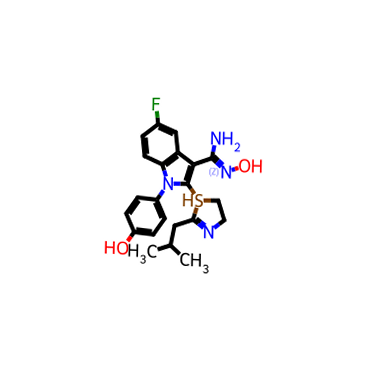 CC(C)CC1=NCC[SH]1c1c(/C(N)=N/O)c2cc(F)ccc2n1-c1ccc(O)cc1